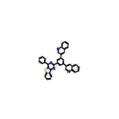 c1ccc(-c2nc(-c3cc(-c4cnc5ccccc5c4)cc(-c4cnc5ccccc5c4)c3)nc3c2sc2ccccc23)cc1